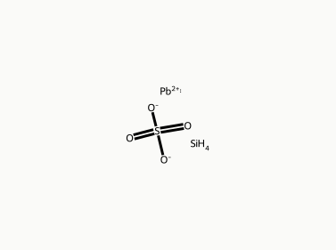 O=S(=O)([O-])[O-].[Pb+2].[SiH4]